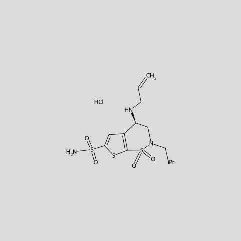 C=CCN[C@H]1CN(CC(C)C)S(=O)(=O)c2sc(S(N)(=O)=O)cc21.Cl